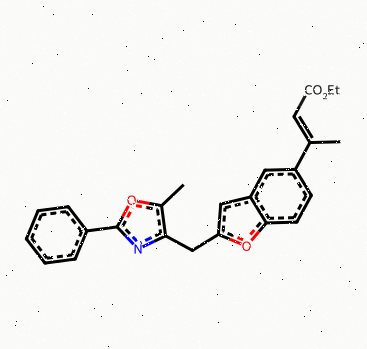 CCOC(=O)C=C(C)c1ccc2oc(Cc3nc(-c4ccccc4)oc3C)cc2c1